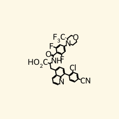 N#Cc1ccc(-c2ccc(CC(NC(=O)c3c(F)cc(N4CCOC[C@H]4C(F)(F)F)cc3F)C(=O)O)c3cccnc23)c(Cl)c1